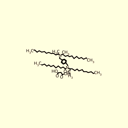 CCCCCCCCCCCC(C)N(Cc1ccc(CN(C(C)CCCCCCCCCCC)C(C)CCCCCCCCCCC)cc1)C(C)CCCCCCCCCCC.O=C(O)CC(=O)O